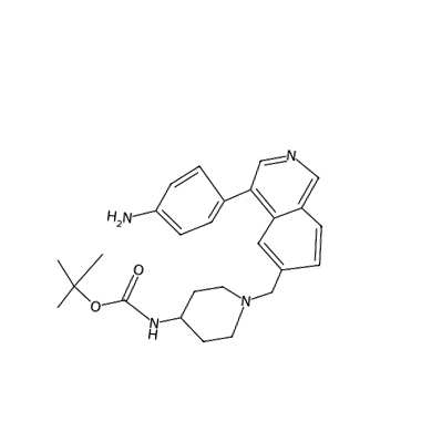 CC(C)(C)OC(=O)NC1CCN(Cc2ccc3cncc(-c4ccc(N)cc4)c3c2)CC1